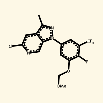 COCOc1cc(-n2nc(C)c3cc(Cl)ncc32)cc(C(F)(F)F)c1F